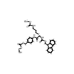 CC(C)(C)OC(=O)NCCCC[C@H](NC(=O)OCC1c2ccccc2-c2ccccc21)C(=O)Nc1ccc(COC(=O)OP=N)cc1